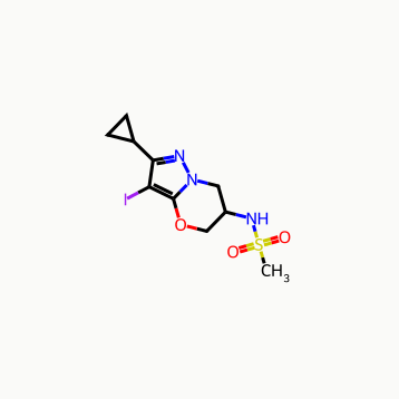 CS(=O)(=O)NC1COc2c(I)c(C3CC3)nn2C1